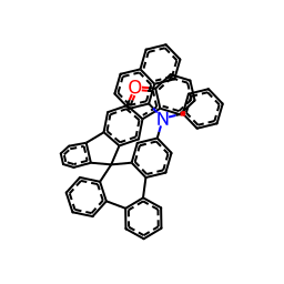 c1ccc(N(c2ccc3c(c2)C2(c4ccccc4-c4ccccc4-3)c3ccccc3-c3cc4oc5ccccc5c4cc32)c2cccc3ccccc23)cc1